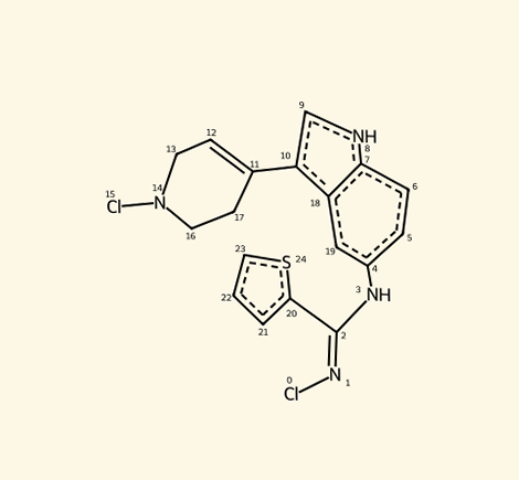 Cl/N=C(/Nc1ccc2[nH]cc(C3=CCN(Cl)CC3)c2c1)c1cccs1